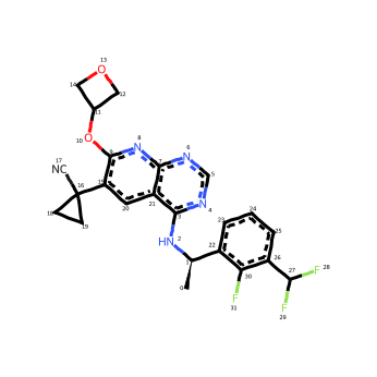 C[C@@H](Nc1ncnc2nc(OC3COC3)c(C3(C#N)CC3)cc12)c1cccc(C(F)F)c1F